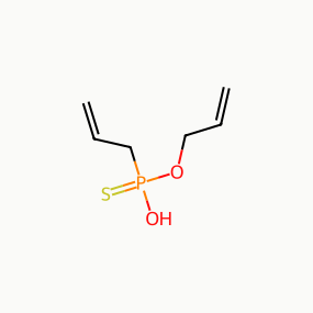 C=CCOP(O)(=S)CC=C